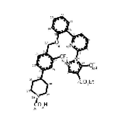 CCOC(=O)c1cnn(-c2cccc(-c3ccccc3OCc3ccc(C4CCN(C(=O)O)CC4)cc3C(F)(F)F)n2)c1C(F)(F)F